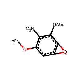 CCCOc1cc2c(c(NC)c1[N+](=O)[O-])O2